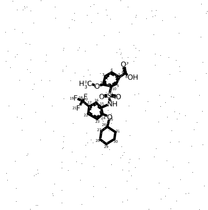 COc1ccc(C(=O)O)cc1S(=O)(=O)Nc1cc(C(F)(F)F)ccc1OC1CCCCC1